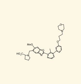 COc1cc2oc(-c3cccc(-c4cccc(OCCCN5CCOCC5)c4)c3C)nc2cc1CN1CCCC1C(=O)O